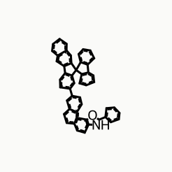 c1ccc(C2Nc3ccc4ccc5cc(-c6ccc7c(c6)C6(c8ccccc8-c8ccccc86)c6cc8ccccc8cc6-7)ccc5c4c3O2)cc1